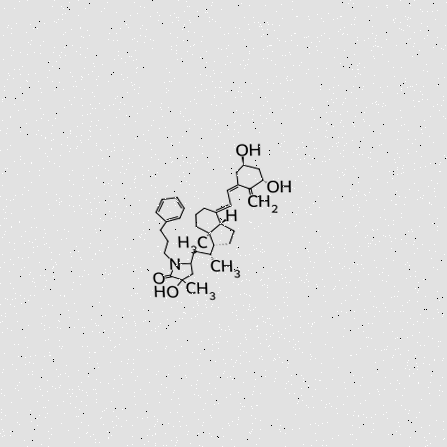 C=C1/C(=C\C=C2/CCC[C@]3(C)[C@@H]([C@H](C)CC4CC(C)(O)C(=O)N4CCCc4ccccc4)CC[C@@H]23)C[C@@H](O)C[C@@H]1O